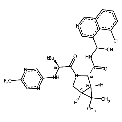 CC(C)(C)[C@H](Nc1cnc(C(F)(F)F)cn1)C(=O)N1C[C@H]2[C@@H]([C@H]1C(=O)NC(C#N)c1cncc3cccc(Cl)c13)C2(C)C